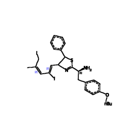 CCCCOc1ccc(C[C@H](N)C2=NC(/C=C(I)/C=C(/C)CI)C(c3ccccc3)S2)cc1